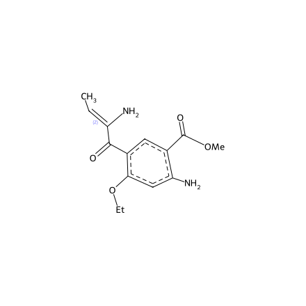 C/C=C(\N)C(=O)c1cc(C(=O)OC)c(N)cc1OCC